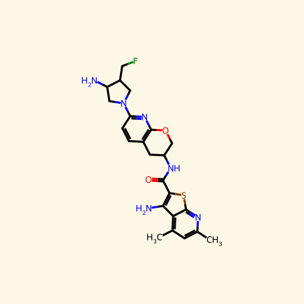 Cc1cc(C)c2c(N)c(C(=O)NC3COc4nc(N5CC(N)C(CF)C5)ccc4C3)sc2n1